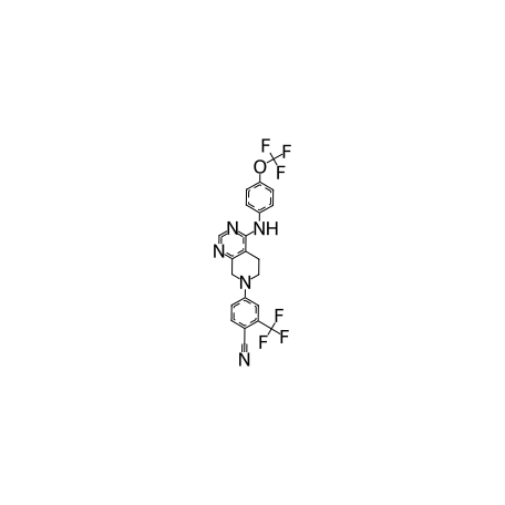 N#Cc1ccc(N2CCc3c(ncnc3Nc3ccc(OC(F)(F)F)cc3)C2)cc1C(F)(F)F